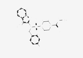 Cc1ccc(CN(c2sc3ccccc3c2C)S(=O)(=O)N2CCN(C(=O)OC(C)(C)C)CC2)cc1